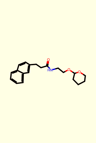 O=C(CCc1ccc2ccccc2c1)NCCOC1CCCCO1